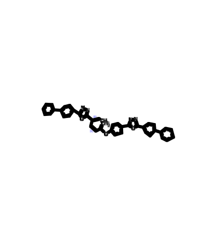 C=C(/C=C\C(=C/C)c1nnc(-c2ccc(-c3ccccc3)cc2)o1)Oc1ccc(-c2nnc(-c3ccc(-c4ccccc4)cc3)o2)cc1